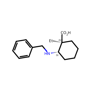 CC[C@]1(C(=O)O)CCCC[C@@H]1NCc1ccccc1